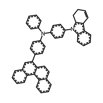 C1=Cc2c(n(-c3ccc(N(c4ccccc4)c4ccc(-c5cc6ccccc6c6c5ccc5ccccc56)cc4)cc3)c3ccccc23)CC1